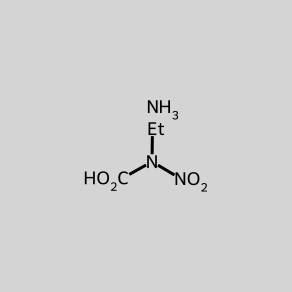 CCN(C(=O)O)[N+](=O)[O-].N